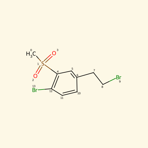 CS(=O)(=O)c1cc(CCBr)ccc1Br